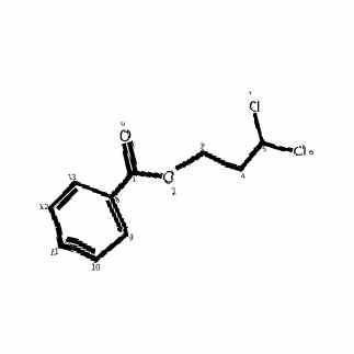 O=C(OCCC(Cl)Cl)c1ccccc1